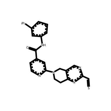 CC(C)c1cccc(NC(=O)c2ccnc(N3CCc4nc(C=S)ncc4C3)c2)c1